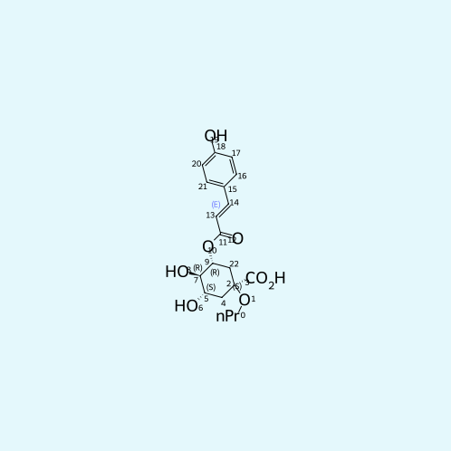 CCCO[C@@]1(C(=O)O)C[C@H](O)[C@@H](O)[C@H](OC(=O)/C=C/c2ccc(O)cc2)C1